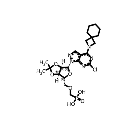 CC1(C)O[C@@H]2[C@H](O1)[C@@H](COCP(=O)(O)O)O[C@H]2n1ncc2c(N3CC4(CCCCC4)C3)nc(Cl)nc21